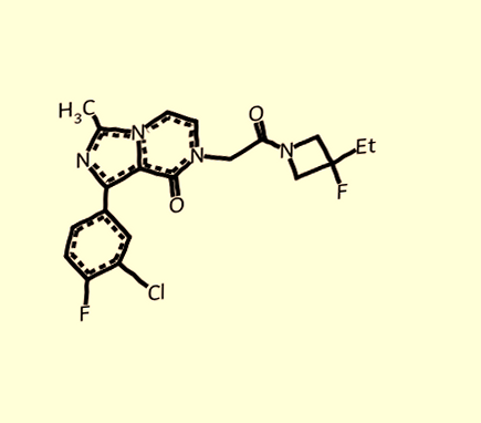 CCC1(F)CN(C(=O)Cn2ccn3c(C)nc(-c4ccc(F)c(Cl)c4)c3c2=O)C1